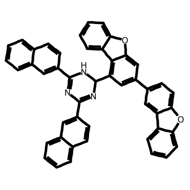 c1ccc2cc(C3=NC(c4cc(-c5ccc6oc7ccccc7c6c5)cc5oc6ccccc6c45)NC(c4ccc5ccccc5c4)=N3)ccc2c1